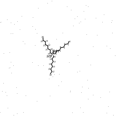 CCCCCCCCP(S)([SeH])(CCCCCCCC)CCCCCCCC